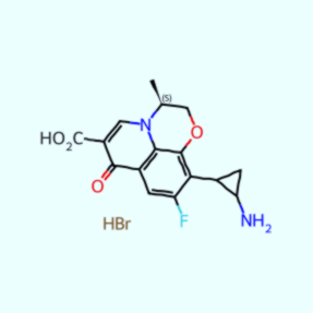 Br.C[C@H]1COc2c(C3CC3N)c(F)cc3c(=O)c(C(=O)O)cn1c23